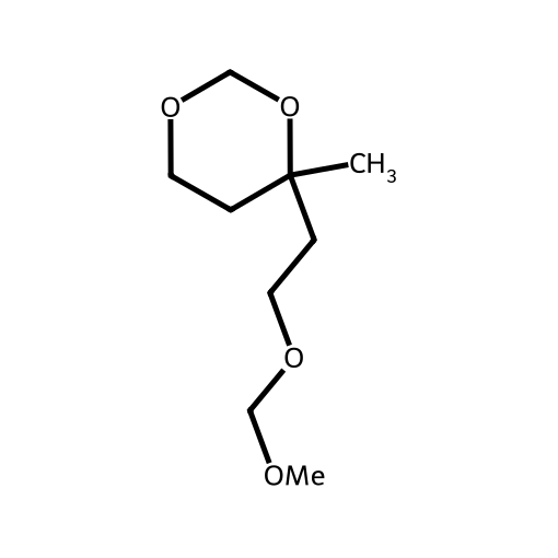 COCOCCC1(C)CCOCO1